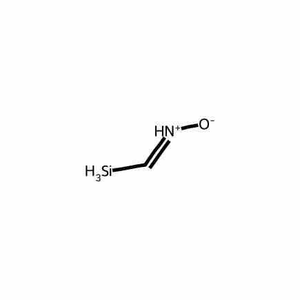 [O-][NH+]=C[SiH3]